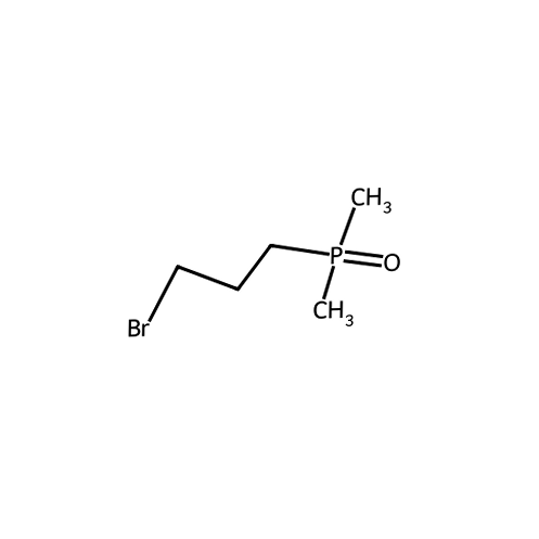 CP(C)(=O)CCCBr